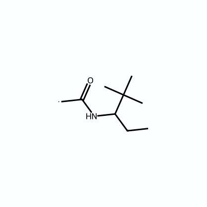 [CH2]C(=O)NC(CC)C(C)(C)C